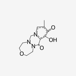 Cc1cn2c(c(O)c1=O)C(=O)N1CCOCCN1C2